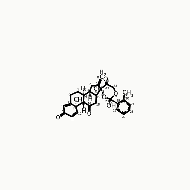 C=C1C[C@H]2[C@@H]3CCC4=CC(=O)C=C[C@]4(C)[C@H]3C(=O)C[C@]2(C)[C@]12OC(O)(c1ccccc1C)OCC2=O